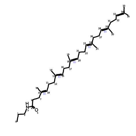 CCCNC(=O)CC/C(C)=C/CC/C(C)=C/CC/C(C)=C/CC/C=C(\C)CC/C=C(\C)CCC=C(C)C